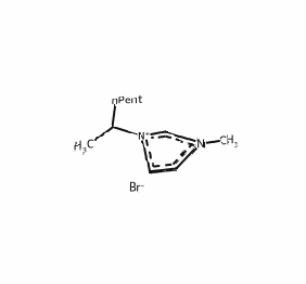 CCCCCC(C)[n+]1ccn(C)c1.[Br-]